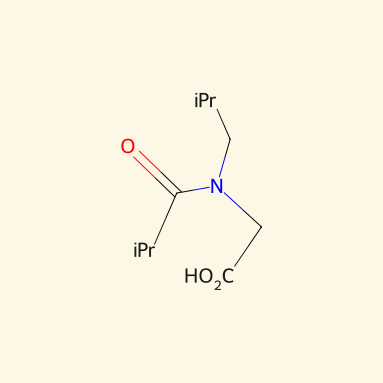 CC(C)CN(CC(=O)O)C(=O)C(C)C